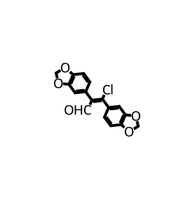 O=C/C(=C(/Cl)c1ccc2c(c1)OCO2)c1ccc2c(c1)OCO2